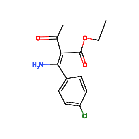 CCOC(=O)C(C(C)=O)=C(N)c1ccc(Cl)cc1